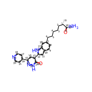 C[C@@H](CCCCCc1ccc2cc(-c3cc(-c4ccncc4)n[nH]c3=O)[nH]c2c1)C(N)=O